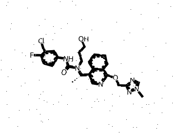 C[C@@H](c1cnc(OCc2ncn(C)n2)c2ccccc12)N(CCCO)C(=O)Nc1ccc(F)c(Cl)c1